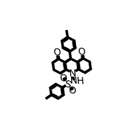 Cc1ccc(C2C3=C(CCCC3=O)N(NS(=O)(=O)c3ccc(C)cc3)C3=C2C(=O)CCC3)cc1